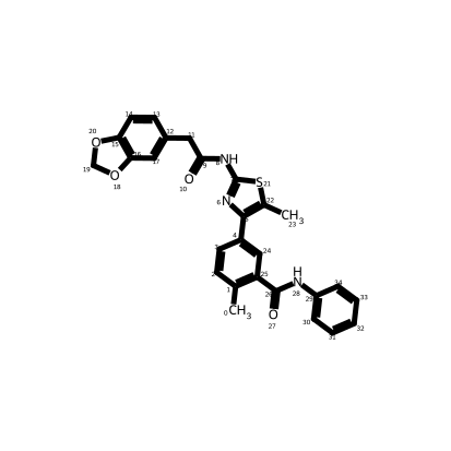 Cc1ccc(-c2nc(NC(=O)Cc3ccc4c(c3)OCO4)sc2C)cc1C(=O)Nc1ccccc1